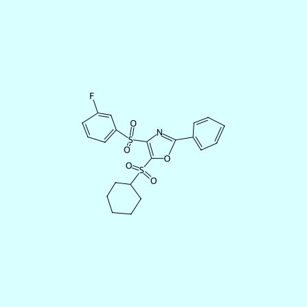 O=S(=O)(c1cccc(F)c1)c1nc(-c2ccccc2)oc1S(=O)(=O)C1CCCCC1